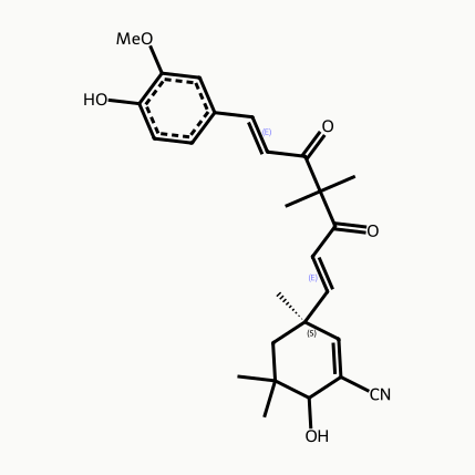 COc1cc(/C=C/C(=O)C(C)(C)C(=O)/C=C/[C@@]2(C)C=C(C#N)C(O)C(C)(C)C2)ccc1O